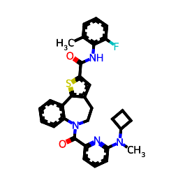 Cc1cccc(F)c1NC(=O)c1cc2c(s1)-c1ccccc1N(C(=O)c1cccc(N(C)C3CCC3)n1)CC2